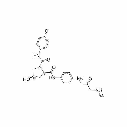 CCNCC(=O)CNc1ccc(NC(=O)[C@H]2C[C@@H](O)CN2C(=O)Nc2ccc(Cl)cc2)cc1